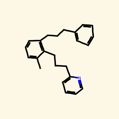 Cc1cc[c]c(CCCc2ccccc2)c1CCCc1ccccn1